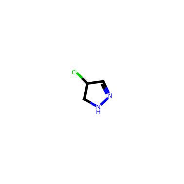 ClC1[CH]NN=C1